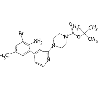 Cc1cc(Br)c(N)c(-c2ccnc(N3CCN(C(=O)OC(C)(C)C)CC3)c2)c1